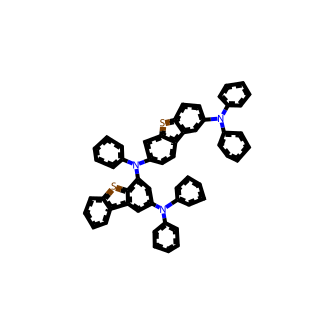 c1ccc(N(c2ccccc2)c2ccc3sc4cc(N(c5ccccc5)c5cc(N(c6ccccc6)c6ccccc6)cc6c5sc5ccccc56)ccc4c3c2)cc1